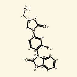 O=C1O[C@@H](CO)CN1c1ccc(-n2c(=O)oc3ccccc32)c(F)c1